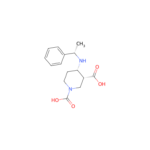 C[C@H](N[C@H]1CCN(C(=O)O)C[C@H]1C(=O)O)c1ccccc1